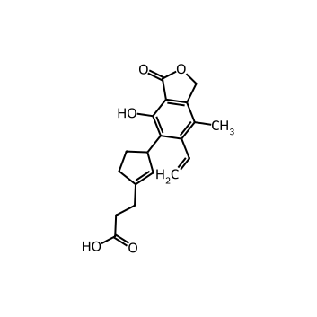 C=Cc1c(C)c2c(c(O)c1C1C=C(CCC(=O)O)CC1)C(=O)OC2